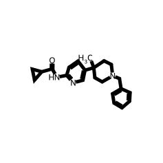 CC1(c2ccc(NC(=O)C3CC3)nc2)CCN(Cc2ccccc2)CC1